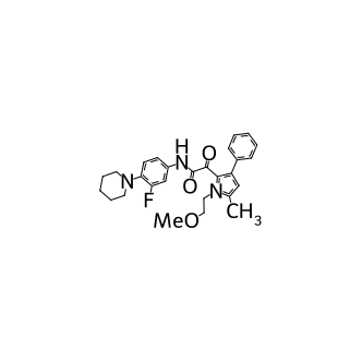 COCCn1c(C)cc(-c2ccccc2)c1C(=O)C(=O)Nc1ccc(N2CCCCC2)c(F)c1